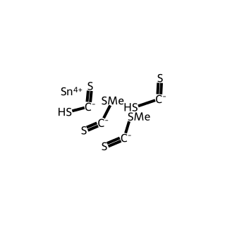 CS[C-]=S.CS[C-]=S.S=[C-]S.S=[C-]S.[Sn+4]